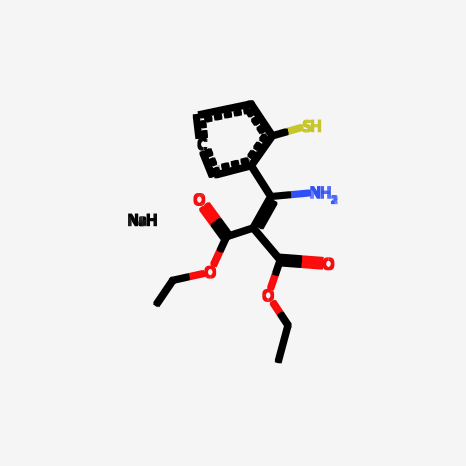 CCOC(=O)C(C(=O)OCC)=C(N)c1ccccc1S.[NaH]